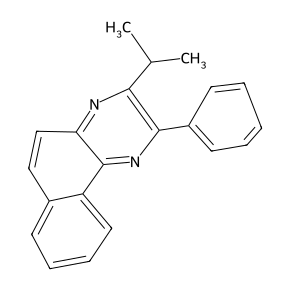 CC(C)c1nc2ccc3ccccc3c2nc1-c1ccccc1